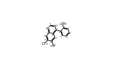 Oc1ccccc1-c1ncnc2cc(Cl)c(Br)cc12